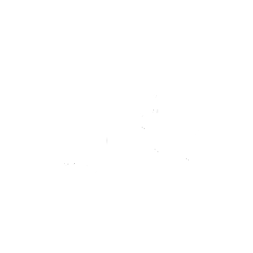 CNC(=O)c1c(-c2ccc(F)cc2)oc2cc(NC(=O)NC(=O)CCl)c(-c3ccc4c(n3)-c3cc5c(F)cccc5n3CO4)cc12